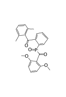 COc1cccc(OC)c1C(=O)[P](=O)c1ccccc1C(=O)c1c(C)cccc1C